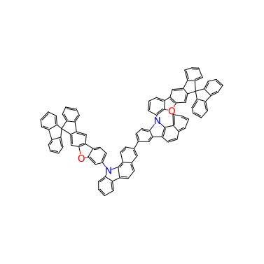 c1ccc2c(c1)-c1ccccc1C21c2ccccc2-c2cc3c(cc21)oc1cc(-n2c4ccccc4c4ccc5cc(-c6ccc7c(c6)c6ccc8ccccc8c6n7-c6cccc7c6oc6cc8c(cc67)-c6ccccc6C86c7ccccc7-c7ccccc76)ccc5c42)ccc13